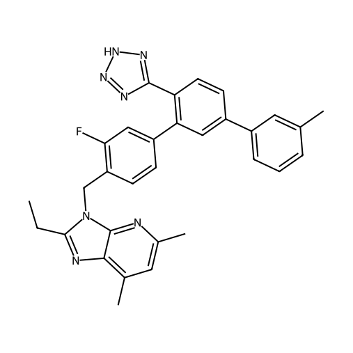 CCc1nc2c(C)cc(C)nc2n1Cc1ccc(-c2cc(-c3cccc(C)c3)ccc2-c2nn[nH]n2)cc1F